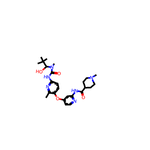 Cc1nc(NC(=O)N(C)C(O)C(C)(C)C)ccc1Oc1ccnc(NC(=O)C2CCN(C)CC2)c1